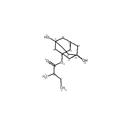 CCC(C)C(=O)OC12CC3CC(O)(CC(O)(C3)C1)C2